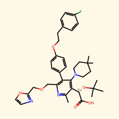 Cc1nc(COCc2ncco2)c(-c2ccc(OCCc3ccc(F)cc3)cc2)c(N2CCC(C)(C)CC2)c1[C@H](OC(C)(C)C)C(=O)O